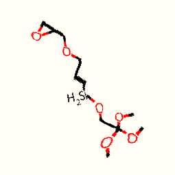 COC(CO[SiH2]CCCOCC1CO1)(OC)OC